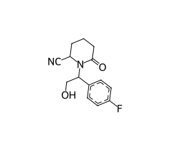 N#CC1CCCC(=O)N1C(CO)c1ccc(F)cc1